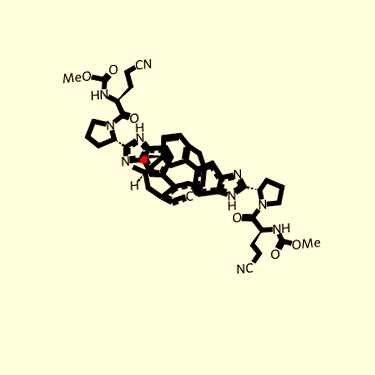 COC(=O)N[C@@H](CCC#N)C(=O)N1CCC[C@H]1c1nc2cc(C3=C4C=C[C@H](C3)[C@H](C)Cc3ccc(cc3-c3ccc5[nH]c([C@@H]6CCCN6C(=O)[C@H](CCC#N)NC(=O)OC)nc5c3)CC4)ccc2[nH]1